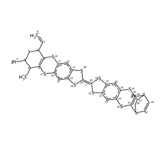 C=CC1CC(C(C)C)C(C)C2=C1Sc1cc3c(cc1S2)S/C(=C1\Sc2cc4c(cc2S1)SC1=C(S4)C2C=CC1C(C(C)C)C2)S3